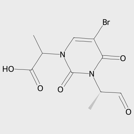 CC(C(=O)O)n1cc(Br)c(=O)n([C@@H](C)C=O)c1=O